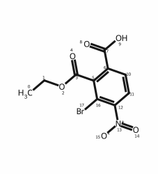 CCOC(=O)c1c(C(=O)O)ccc([N+](=O)[O-])c1Br